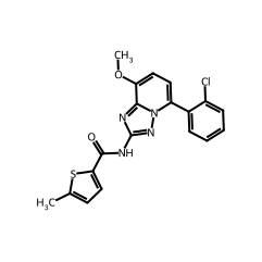 COc1ccc(-c2ccccc2Cl)n2nc(NC(=O)c3ccc(C)s3)nc12